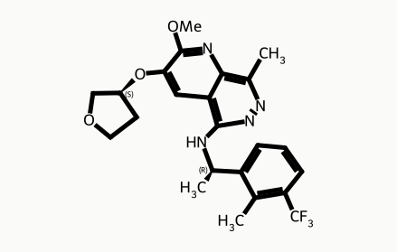 COc1nc2c(C)nnc(N[C@H](C)c3cccc(C(F)(F)F)c3C)c2cc1O[C@H]1CCOC1